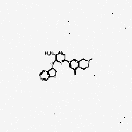 Cc1cc(-c2cnc(N)c(OC3COc4cnccc43)n2)cc2c1CCN(C)C2